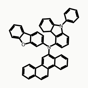 C1=CCC2C(=C1)N(c1ccccc1)c1cccc(N(c3ccc4c(c3)oc3ccccc34)c3cc4c5ccccc5ccc4c4ccccc34)c12